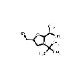 CC(C)C1OC(CO)CN1C(C)(C)C